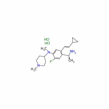 C[C@H](N)c1cc(F)c(N(C)C2CCN(C)CC2)cc1/C=C/C1CC1.Cl.Cl